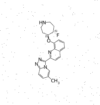 Cc1ccc2nnc(-c3ccc4cccc(O[C@H]5CCNCC[C@@H]5F)c4n3)n2c1